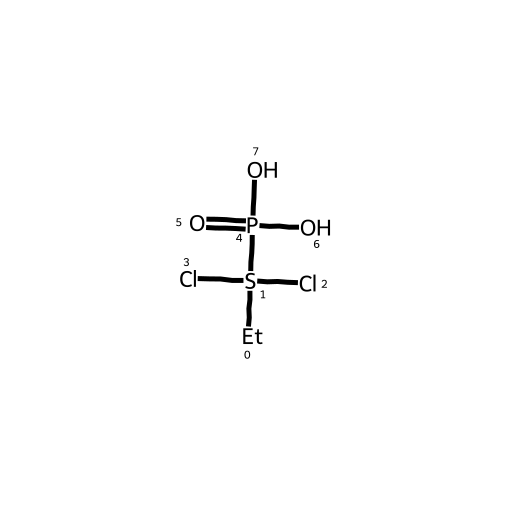 CCS(Cl)(Cl)P(=O)(O)O